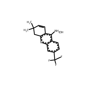 CC1(C)C=Cc2c(nc3cc(C(F)(F)F)ccc3c2N)C1.Cl